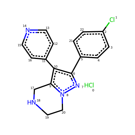 Cl.Clc1ccc(-c2nn3c(c2-c2ccncc2)CNCC3)cc1